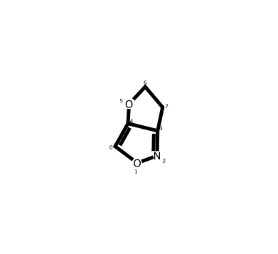 c1onc2c1OCC2